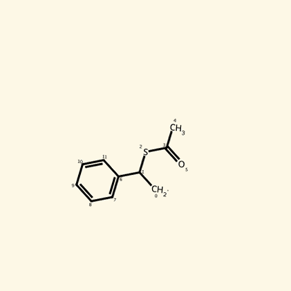 [CH2]C(SC(C)=O)c1ccccc1